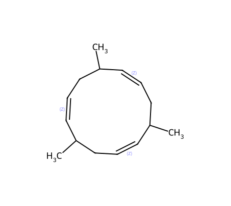 CC1/C=C\CC(C)/C=C\CC(C)/C=C\C1